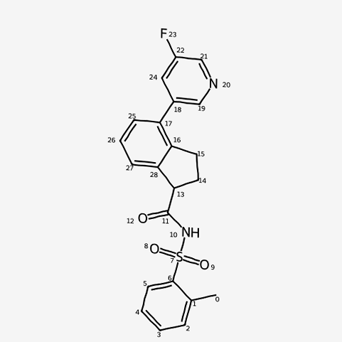 Cc1ccccc1S(=O)(=O)NC(=O)C1CCc2c(-c3cncc(F)c3)cccc21